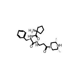 C[C@@H]1CN(C(=O)CCNC(=O)[C@@H](Cc2ccccc2)NC(=O)C2(N)CCCC2)C[C@H](C)N1